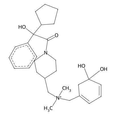 C[N+](C)(CC1=CC=CC(O)(O)C1)CC1CCN(C(=O)C(O)(c2ccccc2)C2CCCC2)CC1